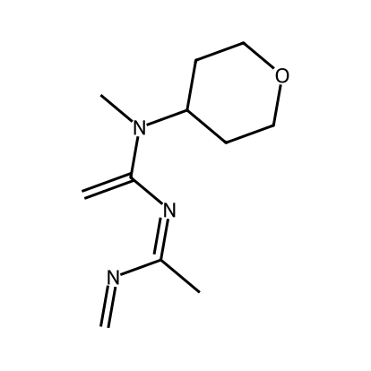 C=N/C(C)=N\C(=C)N(C)C1CCOCC1